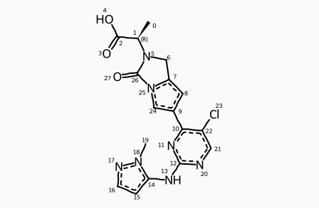 C[C@H](C(=O)O)N1Cc2cc(-c3nc(Nc4ccnn4C)ncc3Cl)cn2C1=O